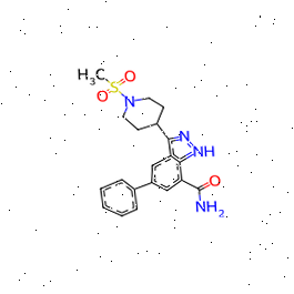 CS(=O)(=O)N1CCC(c2n[nH]c3c(C(N)=O)cc(-c4ccccc4)cc23)CC1